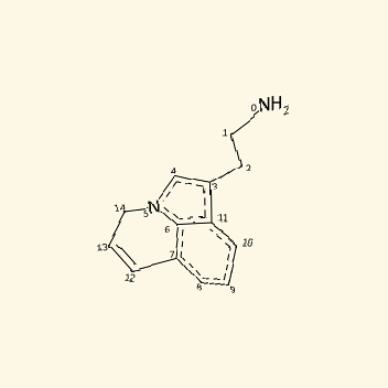 NCCc1cn2c3c(cccc13)C=CC2